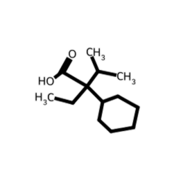 CCC(C(=O)O)(C(C)C)C1CCCCC1